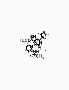 CC(=O)Nc1cccc(C(C)n2nnc3c(-c4ccco4)nc(N)nc32)n1